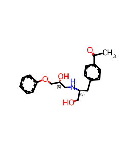 CC(=O)c1ccc(C[C@@H](CO)NC[C@H](O)COc2ccccc2)cc1